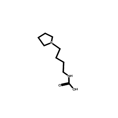 O=C(O)NCCCCN1CCCC1